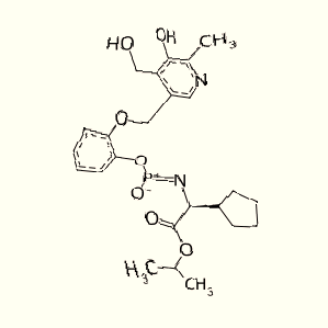 Cc1ncc(COc2ccccc2O[P+]([O-])=N[C@H](C(=O)OC(C)C)C2CCCC2)c(CO)c1O